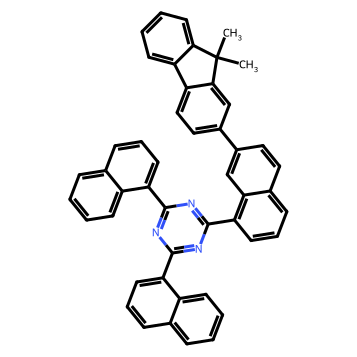 CC1(C)c2ccccc2-c2ccc(-c3ccc4cccc(-c5nc(-c6cccc7ccccc67)nc(-c6cccc7ccccc67)n5)c4c3)cc21